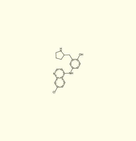 Oc1ccc(Nc2ccnc3cc(Cl)ccc23)cc1CC1CCCN1